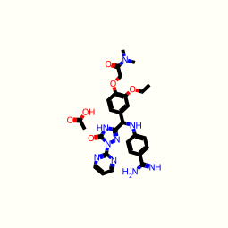 CC(=O)O.CCOc1cc(C(Nc2ccc(C(=N)N)cc2)c2nn(-c3ncccn3)c(=O)[nH]2)ccc1OCC(=O)N(C)C